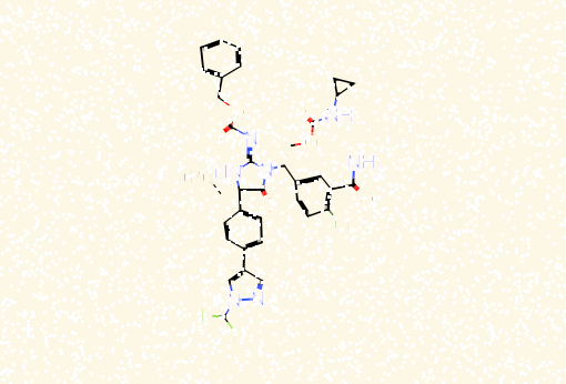 CC(C)(C)C[C@]1(c2ccc(-c3cnn(C(F)F)c3)cc2)NC(=NC(=O)OCc2ccccc2)N([C@H](COC(=O)NC2CC2)c2ccc(Cl)c(C(N)=O)c2)C1=O